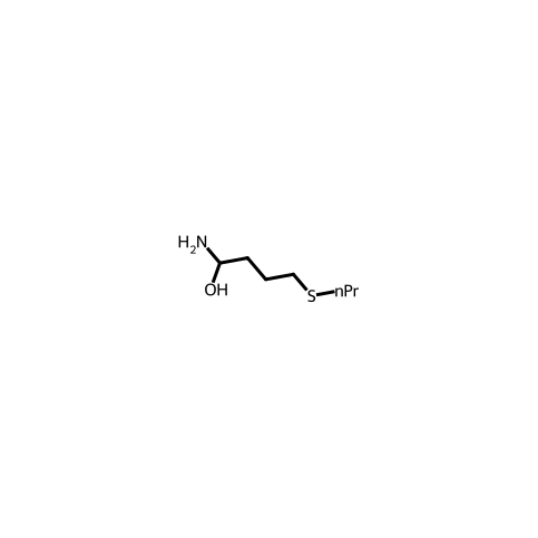 CCCSCCCC(N)O